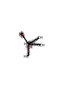 C#CCOCCOCCOCCNC(=O)CCC(CCC(=O)NCCOCCOCCOCC#C)(CCC(=O)NCCOCCOCCOCC#C)NC(=O)CCCCCCCCCCC(=O)Oc1c(F)c(F)c(F)c(F)c1F